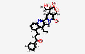 CCc1c2c(nc3cccc(CCC(=O)c4ccccc4)c13)-c1cc3c(c(=O)n1C2)COC(=O)C3(O)CC